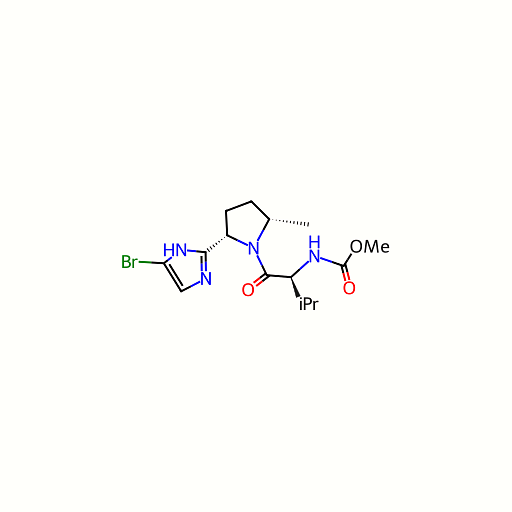 COC(=O)N[C@H](C(=O)N1[C@@H](C)CC[C@H]1c1ncc(Br)[nH]1)C(C)C